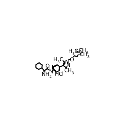 Cc1nn(COCC[Si](C)(C)C)c(C)c1-c1ccc(NC(=O)[C@@H](N)C2CCCCC2)cc1.Cl